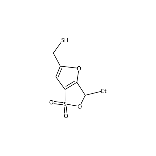 CCC1OS(=O)(=O)c2cc(CS)oc21